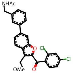 COCc1c(C(=O)c2ccc(Cl)cc2Cl)oc2cc(-c3cccc(CNC(C)=O)c3)ccc12